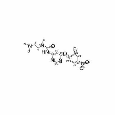 CN(C)CCN(C)C(=O)Nc1cc(Oc2ccc([N+](=O)[O-])cc2F)ncn1